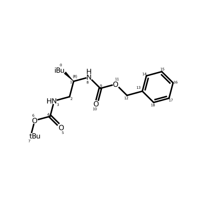 CCC(C)[C@H](CNC(=O)OC(C)(C)C)NC(=O)OCc1ccccc1